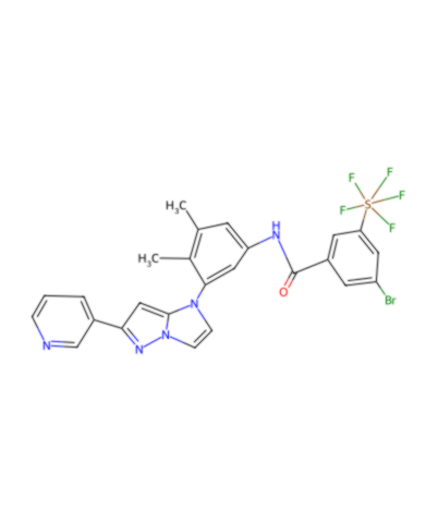 Cc1cc(NC(=O)c2cc(Br)cc(S(F)(F)(F)(F)F)c2)cc(-n2ccn3nc(-c4cccnc4)cc23)c1C